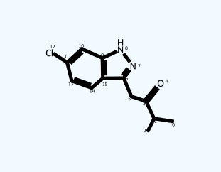 CC(C)C(=O)Cc1n[nH]c2cc(Cl)ccc12